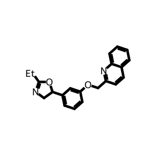 CCC1=NCC(c2cccc(OCc3ccc4ccccc4n3)c2)O1